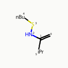 C=C(NSCCCC)C(C)C